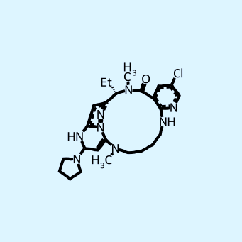 CC[C@H]1c2cc3n(n2)C(=CC(N2CCCC2)N3)N(C)CCCCNc2ncc(Cl)cc2C(=O)N1C